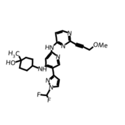 COCC#Cc1nccc(Nc2cc(NC3CCC(C)(O)CC3)c(-c3ccn(C(F)F)n3)cn2)n1